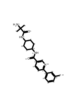 CC(C)(N)C(=O)NC1CCC(NC(=O)c2ccc(-c3cccc(F)c3)nc2)CC1